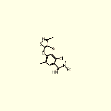 CCN(C)C(=N)c1cc(C)c(Oc2snc(C)c2Br)cc1Cl